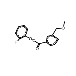 COCc1cccc(C(=O)COc2ccccc2F)c1